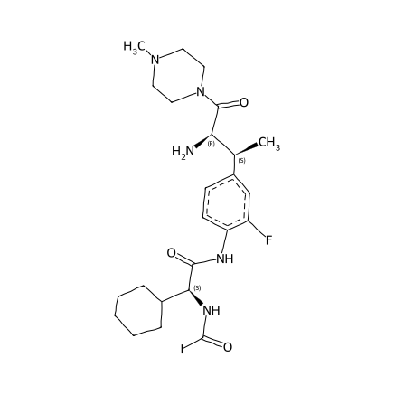 C[C@@H](c1ccc(NC(=O)[C@@H](NC(=O)I)C2CCCCC2)c(F)c1)[C@@H](N)C(=O)N1CCN(C)CC1